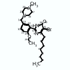 CCCCCCCCc1nc(-c2cc(CN3CCN(C)CC3)ccc2OCC)[nH]c(=O)c1Br